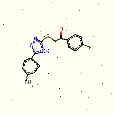 Cc1ccc(-c2nnc(SCC(=O)c3ccc(F)cc3)[nH]2)cc1